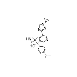 CC(C)c1ccc([C@](O)(c2cncc(-c3ncn(C4CC4)n3)c2)C2(C)CNC2)cc1